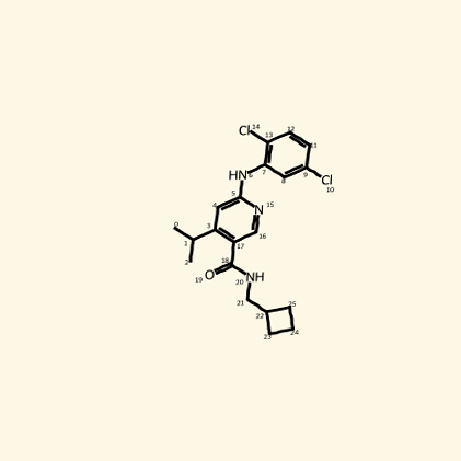 CC(C)c1cc(Nc2cc(Cl)ccc2Cl)ncc1C(=O)NCC1CCC1